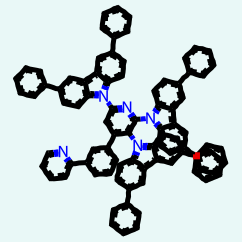 c1ccc(-c2ccc3c(c2)c2cc(-c4ccccc4)ccc2n3-c2cc(-c3cccc(-c4ccccn4)c3)c(-n3c4ccc(-c5ccccc5)cc4c4cc(-c5ccccc5)ccc43)c(-n3c4ccc(-c5ccccc5)cc4c4cc(-c5ccccc5)ccc43)n2)cc1